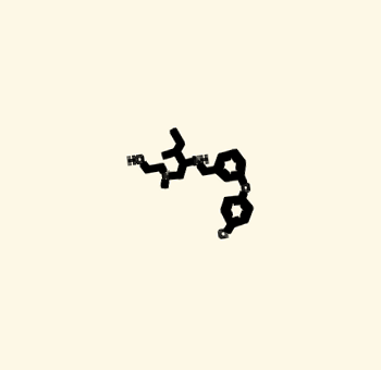 CCC(C)C(CN(C)CCO)NCc1cccc(Oc2ccc(Cl)cc2)c1